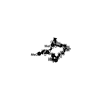 COc1ccc(C2=CN3C(=O)c4cc(OC)c(OCCCOc5cc6c(cc5OC)C(=O)N5CC7(CC7)C[C@H]5C(O)N6C(=O)OCc5ccc(NC(=O)[C@H](C)NC(=O)[C@@H](NC(=O)CNC(=O)CNC(=O)CCC(=O)N6Cc7ccccc7C7=C(c8ccccc86)N(C(C)C)NN7)C(C)C)cn5)cc4NC[C@@H]3C2)cc1